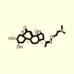 C/C(=N/OCCN(C)C)[C@H]1CC[C@@]2(O)C3=CC(=O)[C@@H]4C[C@@H](O)[C@@H](O)C[C@]4(C)C3CC[C@]12C